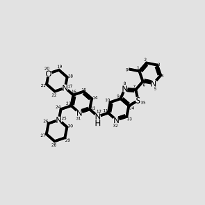 Cc1cccnc1-c1nc2cc(Nc3ccc(N4CCOCC4)c(CN4CCCCC4)n3)ncc2s1